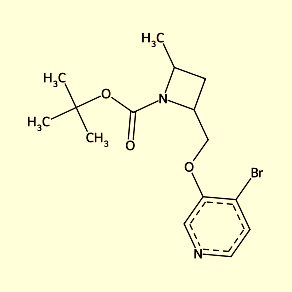 CC1CC(COc2cnccc2Br)N1C(=O)OC(C)(C)C